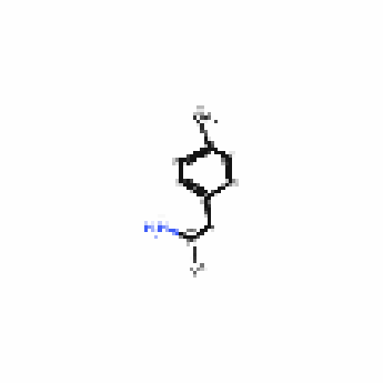 CC(=O)Oc1ccc(C[C@H](N)C(C)=O)cc1